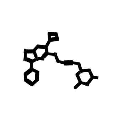 CC1CN(CC#CCOc2nn3c(-c4ccccc4)nnc3cc2C2=CC=C2)CC(C)O1